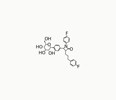 O=C1C(CCCc2ccc(F)cc2)C(c2ccc([C@@H]3O[C@H](CO)[C@@H](O)[C@H](O)[C@H]3O)cc2)N1c1ccc(F)cc1